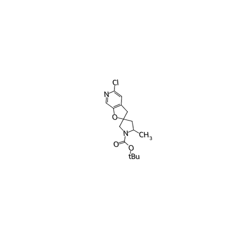 CC1CC2(Cc3cc(Cl)ncc3O2)CN1C(=O)OC(C)(C)C